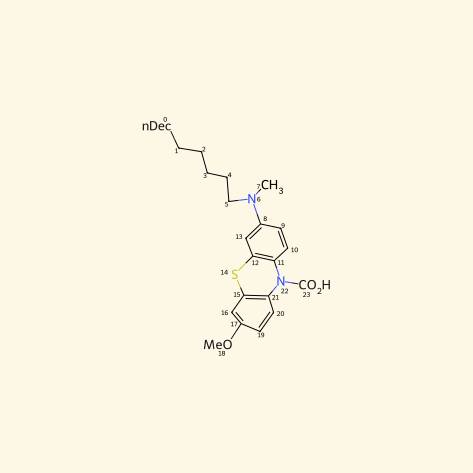 CCCCCCCCCCCCCCCN(C)c1ccc2c(c1)Sc1cc(OC)ccc1N2C(=O)O